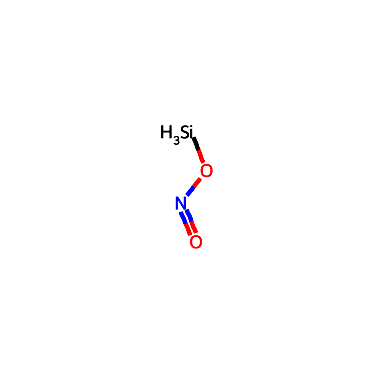 O=NO[SiH3]